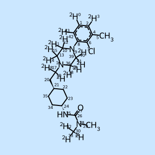 [2H]c1c([2H])c(C)c(Cl)c(N2C([2H])([2H])C([2H])([2H])N(C([2H])([2H])C[C@H]3CC[C@H](NC(=O)N(C)C([2H])([2H])[2H])CC3)C([2H])([2H])C2([2H])[2H])c1[2H]